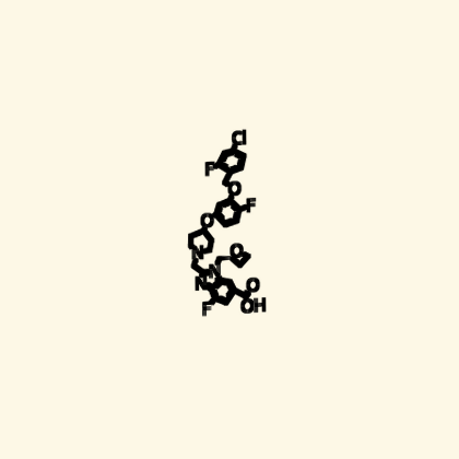 O=C(O)c1cc(F)c2nc(CN3CCC(Oc4ccc(F)c(OCc5ccc(Cl)cc5F)c4)CC3)n(C[C@@H]3CCO3)c2c1